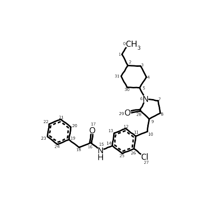 CCC1CCC(N2CCC(Cc3ccc(NC(=O)Cc4ccccc4)cc3Cl)C2=O)CC1